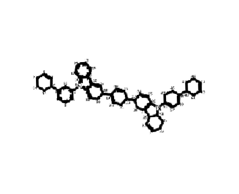 C1=CC(c2cccc(-n3c4c(c5ccccc53)=CC(C3=CCC(C5C=CC6=C(C5)C5C=CCCC5N6C5=CC=C(C6CC=CCC6)CC5)C=C3)CC=4)c2)CCC1